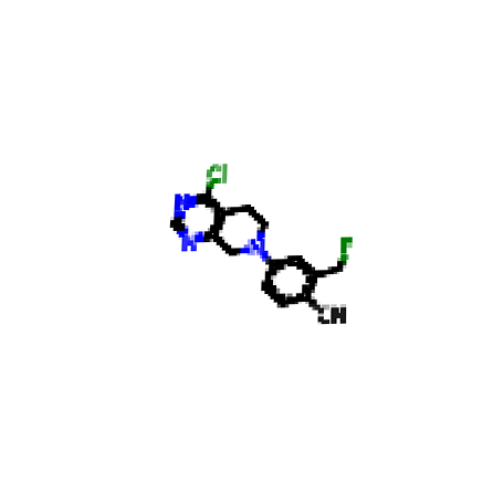 N#Cc1ccc(N2CCc3c(Cl)ncnc3C2)cc1CF